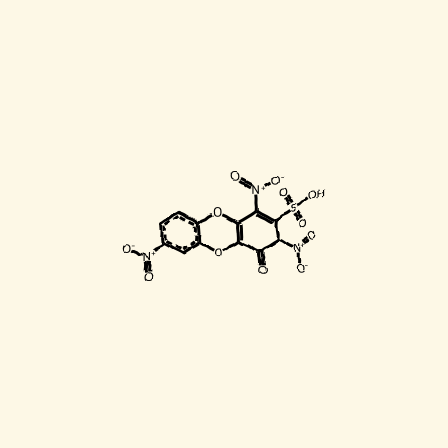 O=C1C2=C(Oc3ccc([N+](=O)[O-])cc3O2)C([N+](=O)[O-])=C(S(=O)(=O)O)C1[N+](=O)[O-]